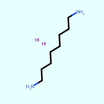 I.I.NCCCCCCCCN